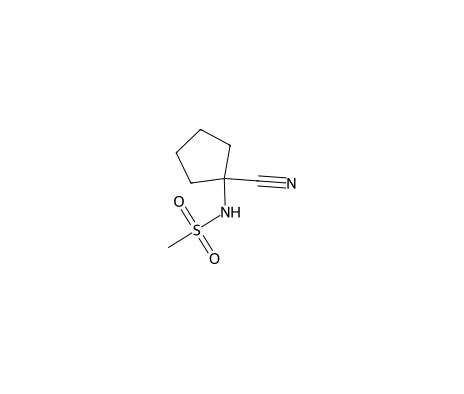 CS(=O)(=O)NC1(C#N)CCCC1